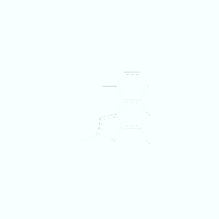 CCn1cc2c(n1)c(N)nc1cccc(C)c12